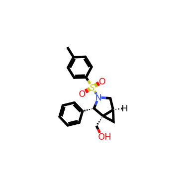 Cc1ccc(S(=O)(=O)N2C[C@H]3C[C@@]3(CO)[C@@H]2c2ccccc2)cc1